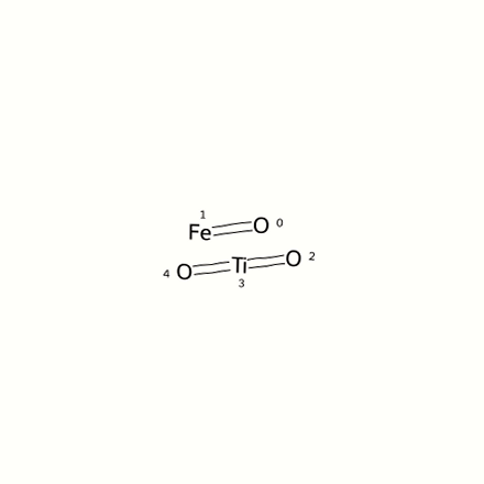 [O]=[Fe].[O]=[Ti]=[O]